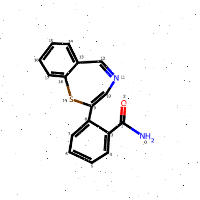 NC(=O)c1ccccc1C1=CN=Cc2ccccc2S1